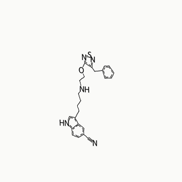 N#Cc1ccc2[nH]cc(CCCCNCCOc3nsnc3Cc3ccccc3)c2c1